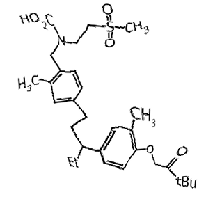 CCC(CCc1ccc(CN(CCS(C)(=O)=O)C(=O)O)c(C)c1)c1ccc(OCC(=O)C(C)(C)C)c(C)c1